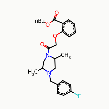 CCCCOC(=O)c1ccccc1OCC(=O)N1CC(C)N(Cc2ccc(F)cc2)CC1C